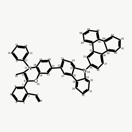 C=Cc1ccccc1C1=C(C)N(c2ccccc2)c2ccc(-c3ccc4c(c3)c3ccccc3n4-c3ccc4c5ccccc5c5ccccc5c4c3)cc2O1